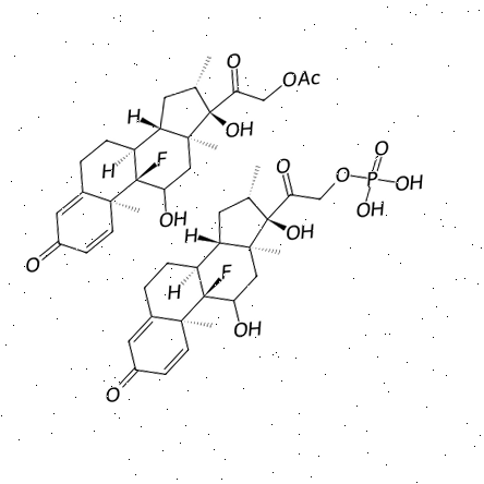 CC(=O)OCC(=O)[C@@]1(O)[C@@H](C)C[C@H]2[C@@H]3CCC4=CC(=O)C=C[C@]4(C)[C@@]3(F)C(O)C[C@@]21C.C[C@H]1C[C@H]2[C@@H]3CCC4=CC(=O)C=C[C@]4(C)[C@@]3(F)C(O)C[C@]2(C)[C@@]1(O)C(=O)COP(=O)(O)O